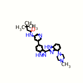 CN1CCN(c2cccc3[nH]c(-c4n[nH]c5ccc(-c6cncc(NC(=O)CC(C)(C)C)c6)cc45)nc23)CC1